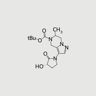 CC1Cn2ncc(N3CC[C@H](O)C3=O)c2CN1C(=O)OC(C)(C)C